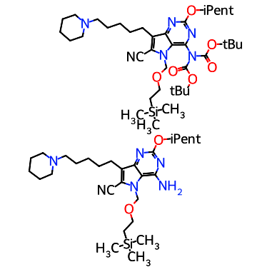 CCCC(C)Oc1nc(N(C(=O)OC(C)(C)C)C(=O)OC(C)(C)C)c2c(n1)c(CCCCCN1CCCCC1)c(C#N)n2COCC[Si](C)(C)C.CCCC(C)Oc1nc(N)c2c(n1)c(CCCCCN1CCCCC1)c(C#N)n2COCC[Si](C)(C)C